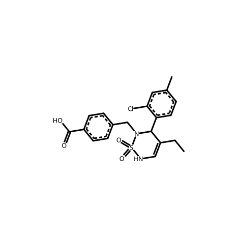 CCC1=CNS(=O)(=O)N(Cc2ccc(C(=O)O)cc2)C1c1ccc(C)cc1Cl